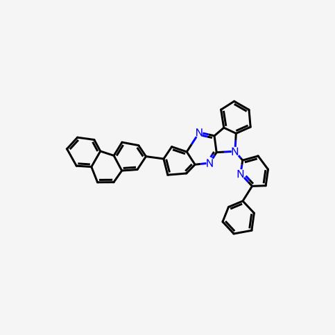 c1ccc(-c2cccc(-n3c4ccccc4c4nc5cc(-c6ccc7c(ccc8ccccc87)c6)ccc5nc43)n2)cc1